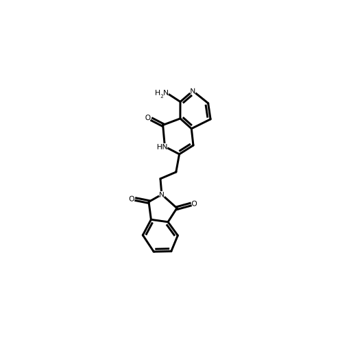 Nc1nccc2cc(CCN3C(=O)c4ccccc4C3=O)[nH]c(=O)c12